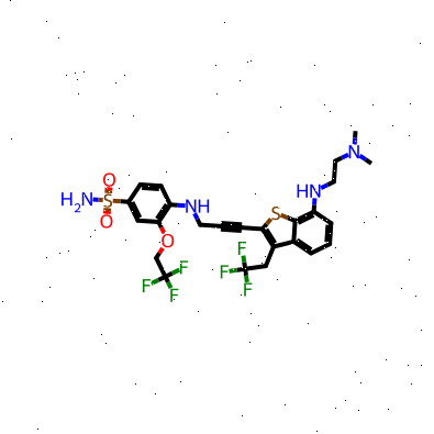 CN(C)CCNc1cccc2c(CC(F)(F)F)c(C#CCNc3ccc(S(N)(=O)=O)cc3OCC(F)(F)F)sc12